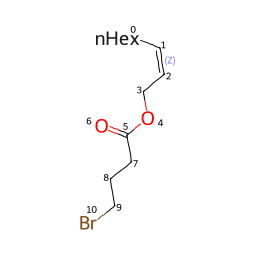 CCCCCC/C=C\COC(=O)CCCBr